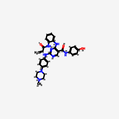 C=CC(=O)Nc1ccccc1Nc1nc(Nc2ccc(N3CCN(C)CC3)cc2)ncc1C(=O)Nc1ccc(O)cc1